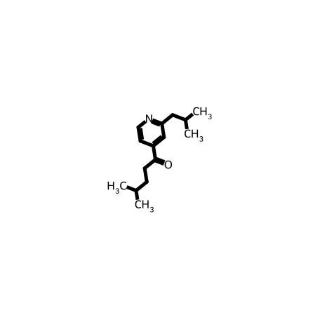 CC(C)CCC(=O)c1ccnc(CC(C)C)c1